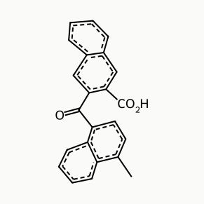 Cc1ccc(C(=O)c2cc3ccccc3cc2C(=O)O)c2ccccc12